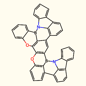 c1ccc2c(c1)Oc1c3c(cc4c1B2n1c2ccccc2c2cccc-4c21)B1c2c(cccc2-c2cccc4c5ccccc5n1c24)O3